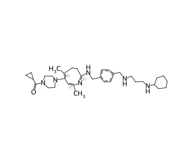 CC1=C/C(N2CCN(C(=O)C3CC3)CC2)=C(/C)CC/C(NCc2ccc(CNCCCNC3CCCCC3)cc2)=N\1